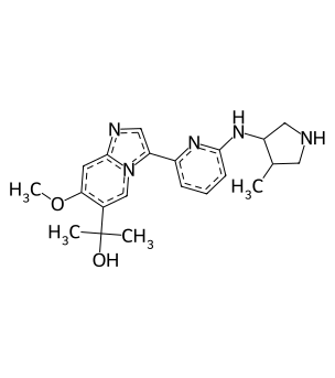 COc1cc2ncc(-c3cccc(NC4CNCC4C)n3)n2cc1C(C)(C)O